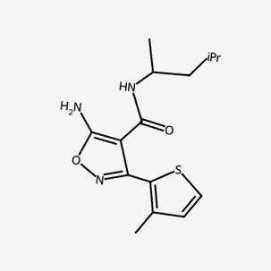 Cc1ccsc1-c1noc(N)c1C(=O)NC(C)CC(C)C